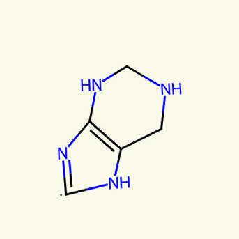 [c]1nc2c([nH]1)CNCN2